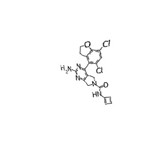 Nc1nc2c(c(-c3c(Cl)cc(Cl)c4c3CCO4)n1)CN(C(=O)NC1=CC=C1)C2